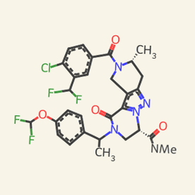 CNC(=O)[C@@H]1CN(C(C)c2ccc(OC(F)F)cc2)C(=O)c2c3c(nn21)C[C@@H](C)N(C(=O)c1ccc(Cl)c(C(F)F)c1)C3